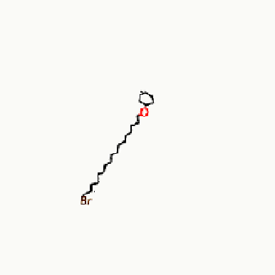 BrC[CH]CCCCCCCCCCCCCCCOC1CC[CH]CC1